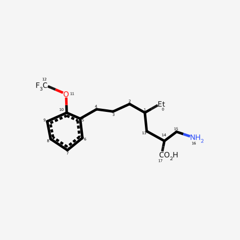 CCC(CCCc1ccccc1OC(F)(F)F)CC(CN)C(=O)O